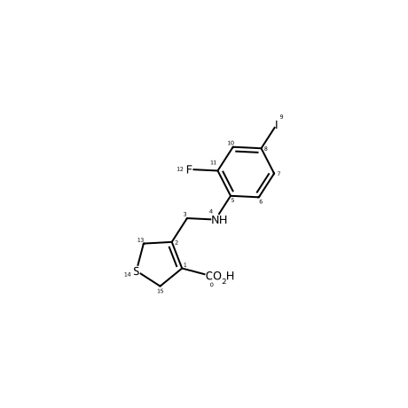 O=C(O)C1=C(CNc2ccc(I)cc2F)CSC1